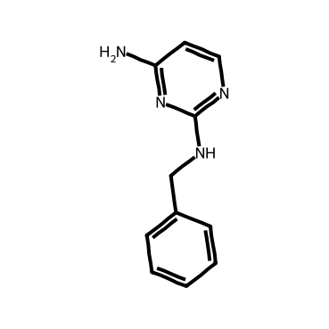 Nc1ccnc(NCc2ccccc2)n1